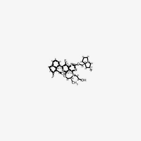 C#Cc1c(F)ccc2cccc(-c3nc4c5c(nc(OC[C@@]67CCCN6C[C@H](F)C7)nc5c3F)N(CCO)[C@@H](C)CO4)c12